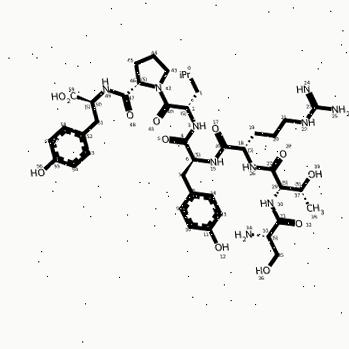 CC(C)C[C@H](NC(=O)[C@H](Cc1ccc(O)cc1)NC(=O)[C@H](CCCNC(=N)N)NC(=O)[C@@H](NC(=O)[C@@H](N)CO)[C@@H](C)O)C(=O)N1CCC[C@H]1C(=O)N[C@@H](Cc1ccc(O)cc1)C(=O)O